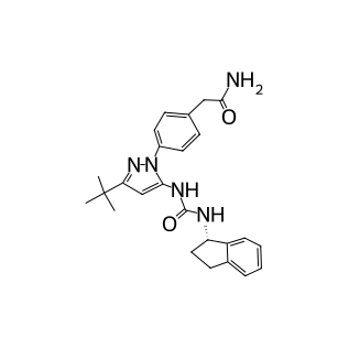 CC(C)(C)c1cc(NC(=O)N[C@H]2CCc3ccccc32)n(-c2ccc(CC(N)=O)cc2)n1